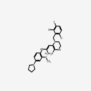 COc1cc(N2CCCC2)ccc1N/C(N)=C/C1=C(N)NCCN1Cc1c(Cl)ccc(F)c1Cl